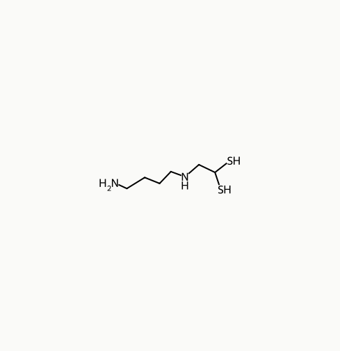 NCCCCNCC(S)S